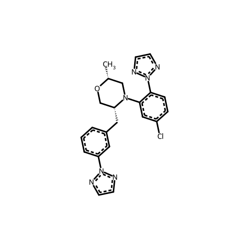 C[C@@H]1CN(c2cc(Cl)ccc2-n2nccn2)[C@H](Cc2cccc(-n3nccn3)c2)CO1